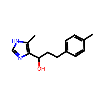 Cc1ccc(CCC(O)c2nc[nH]c2C)cc1